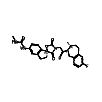 CNC(=O)Nc1ccc2c(c1)CC[C@@]21OC(=O)N(CC(=O)N2Cc3ccc(F)cc3CC[C@H]2C)C1=O